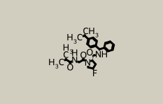 CC(C)C(=O)NCC(=O)N1C[C@H](F)C[C@H]1C(=O)N[C@@H](c1ccccc1)c1ccc(C(C)C)cc1